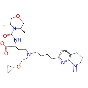 C[C@@H]1COC[C@@H](C)N1C(=O)N[C@@H](CCN(CCCCc1ccc2c(n1)NCCC2)CCOC1CC1)C(=O)O